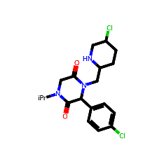 CC(C)N1CC(=O)N(CC2CCC(Cl)CN2)C(c2ccc(Cl)cc2)C1=O